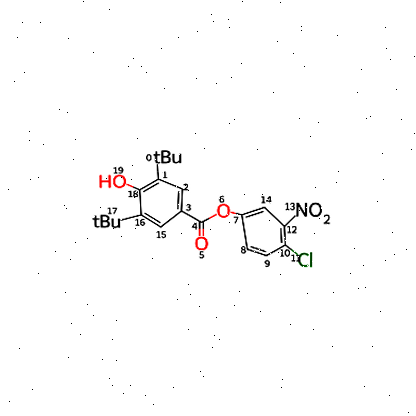 CC(C)(C)c1cc(C(=O)Oc2ccc(Cl)c([N+](=O)[O-])c2)cc(C(C)(C)C)c1O